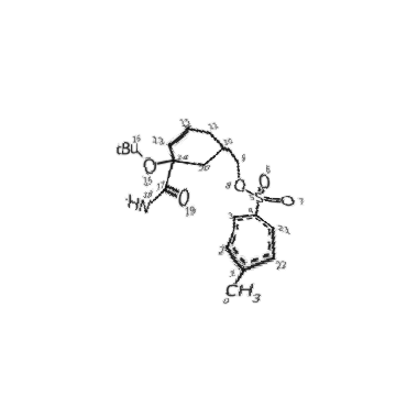 Cc1ccc(S(=O)(=O)OCC2CCCC(OC(C)(C)C)(C([NH])=O)C2)cc1